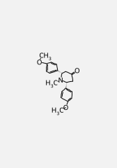 COc1ccc([C@H]2CC(=O)C[C@@H](c3ccc(OC)cc3)N2C)cc1